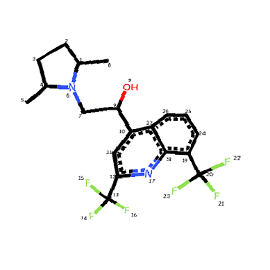 CC1CCC(C)N1CC(O)c1cc(C(F)(F)F)nc2c(C(F)(F)F)cccc12